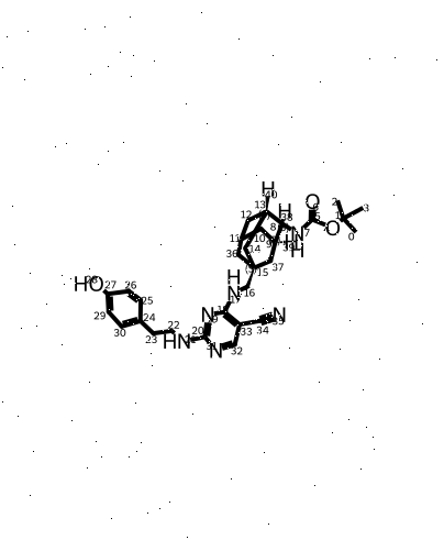 CC(C)(C)OC(=O)N[C@@H]1[C@@H]2CC3C[C@H]1C[C@@](CNc1nc(NCCc4ccc(O)cc4)ncc1C#N)(C3)C2